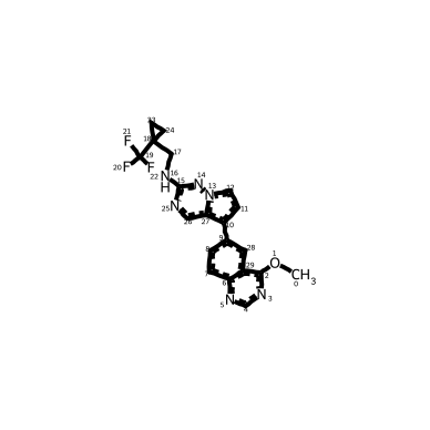 COc1ncnc2ccc(-c3ccn4nc(NCC5(C(F)(F)F)CC5)ncc34)cc12